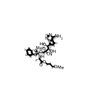 COCCCOC(=O)[C@H](C)NP(=O)(OC[C@@](C#N)(OC)[C@@H](O)[C@@H](O)c1ccc2c(N)ncnn12)Oc1ccccc1